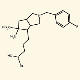 NC1(C(=O)O)CC2CN(Cc3ccc(F)cc3)CC2C1CCCB(O)O